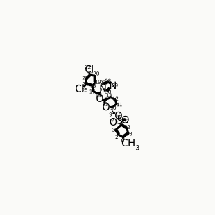 Cc1ccc(S(=O)(=O)OC[C@H]2CCC[C@H](OC(Cc3ccc(Cl)cc3Cl)n3ccnc3)O2)cc1